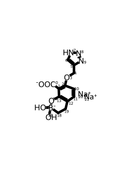 O=C([O-])c1c(OCc2c[nH]nn2)ccc2c1O[B-](O)(O)CC2.[Na+].[Na+]